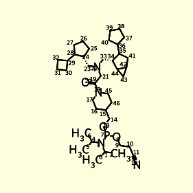 CC(C)N(C(C)C)P(OCCC#N)OCC1CCN(C(=O)CN(C[C@H]2CCCC2C2CCC2)C[C@@H]2C(C3CCCC3)CC3CC32)CC1